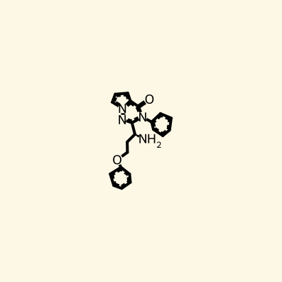 N[C@@H](CCOc1ccccc1)c1nn2cccc2c(=O)n1-c1ccccc1